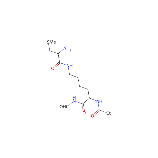 CCC(=O)NC(CCCCNC(=O)C(N)CSC)C(=O)NC=O